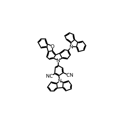 N#Cc1cc(-n2c3ccc(-n4c5ccccc5c5ccccc54)cc3c3c4oc5ccccc5c4ccc32)cc(C#N)c1-n1c2ccccc2c2ccccc21